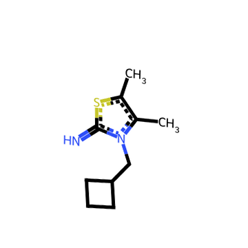 Cc1sc(=N)n(CC2CCC2)c1C